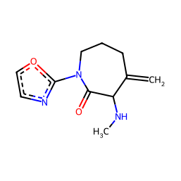 C=C1CCCN(c2ncco2)C(=O)C1NC